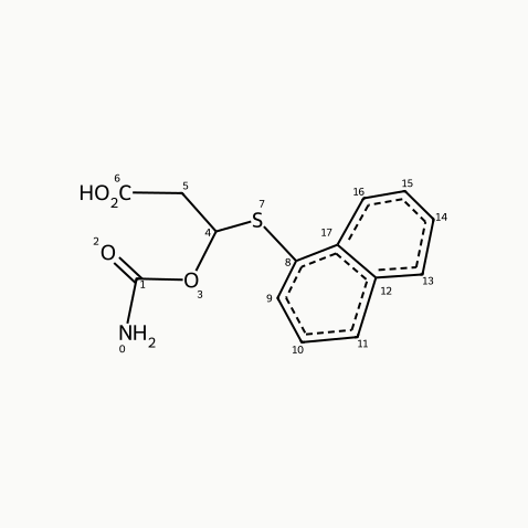 NC(=O)OC(CC(=O)O)Sc1cccc2ccccc12